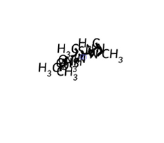 Cc1cn2cc(/C(=N/CS)SC(C)CCNC(=O)OC(C)(C)C)nc2c(C)n1